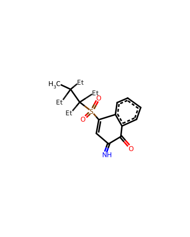 CCC(C)(CC)C(CC)(CC)S(=O)(=O)C1=CC(=N)C(=O)c2ccccc21